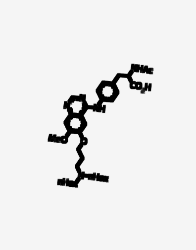 CCCCCCN(CCCCCC)CCCOc1cc2c(Nc3ccc(CC(NC(C)=O)C(=O)O)cc3)ncnc2cc1OC